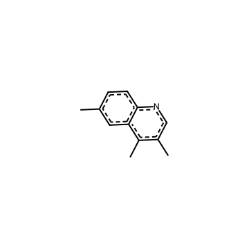 Cc1ccc2ncc(C)c(C)c2c1